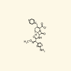 CO/N=C(\C(=O)NC1C(=O)N2C(C(=O)[O-])=C(C[n+]3ccncc3)CS[C@H]12)c1csc(N)n1